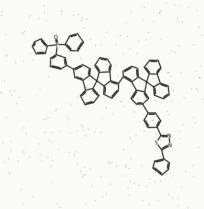 O=P(c1ccccc1)(c1ccccc1)c1cccc(-c2ccc3c(c2)-c2ccccc2C32c3ccccc3-c3c(-c4cccc5c4-c4ccc(-c6ccc(-c7nnc(-c8ccccc8)s7)cc6)cc4C54c5ccccc5-c5ccccc54)cccc32)c1